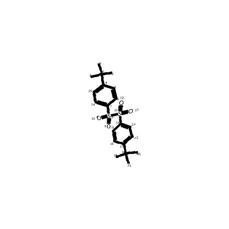 CC(C)(C)c1ccc(S(=O)(=O)S(=O)(=O)c2ccc(C(C)(C)C)cc2)cc1